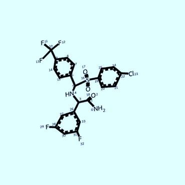 NC(=O)C(NC(c1ccc(C(F)(F)F)cc1)S(=O)(=O)c1ccc(Cl)cc1)c1cc(F)cc(F)c1